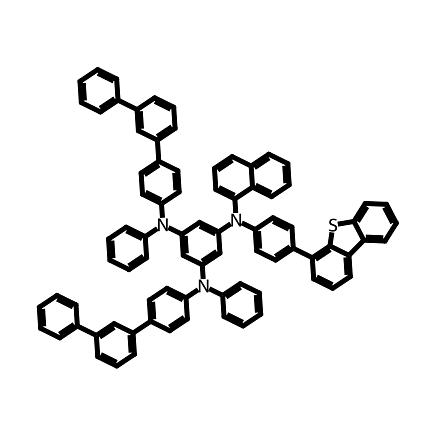 c1ccc(-c2cccc(-c3ccc(N(c4ccccc4)c4cc(N(c5ccccc5)c5ccc(-c6cccc(-c7ccccc7)c6)cc5)cc(N(c5ccc(-c6cccc7c6sc6ccccc67)cc5)c5cccc6ccccc56)c4)cc3)c2)cc1